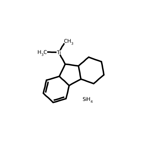 [CH3][Ti]([CH3])[CH]1C2C=CC=CC2C2CCCCC21.[SiH4]